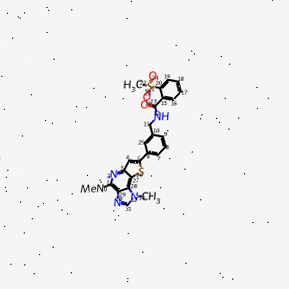 CNc1nc2cc(-c3cccc(CNC(=O)c4ccccc4S(C)(=O)=O)c3)sc2c2c1ncn2C